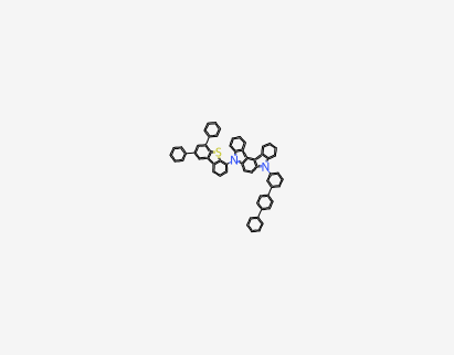 c1ccc(-c2ccc(-c3cccc(-n4c5ccccc5c5c6c7ccccc7n(-c7cccc8c7sc7c(-c9ccccc9)cc(-c9ccccc9)cc78)c6ccc54)c3)cc2)cc1